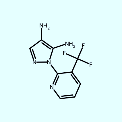 Nc1cnn(-c2ncccc2C(F)(F)F)c1N